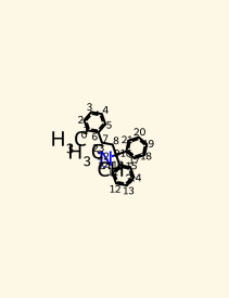 Cc1c[c]ccc1CCC(c1ccccc1)(c1ccccc1)N(C)C